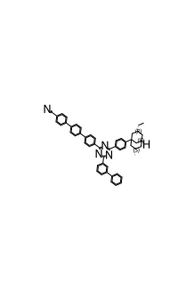 CC[C@@H]1C[C@@H]2C[C@H](C)CC(c3ccc(-c4nc(-c5ccc(-c6ccc(-c7ccc(C#N)cc7)cc6)cc5)nc(-c5cccc(-c6ccccc6)c5)n4)cc3)(C1)C2